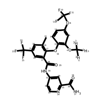 [2H]C([2H])([2H])Oc1cc(OC(F)(F)F)ccc1Oc1c(C)cc(C(F)(F)F)cc1C(=O)Nc1ccnc(C(N)=O)c1